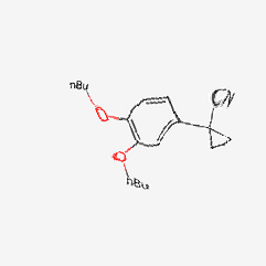 CCCCOc1ccc(C2(C#N)CC2)cc1OCCCC